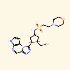 CC[C@@H]1C[C@H](NS(=O)(=O)CCN2CCOCC2)C[C@@H]1c1nnc2cnc3[nH]ccc3n12